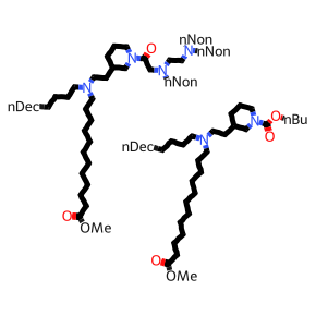 CCCCCCCCCCCCCCN(CCCCCCCCCCCC(=O)OC)CCC1CCCN(C(=O)CN(CCCCCCCCC)CCN(CCCCCCCCC)CCCCCCCCC)C1.CCCCCCCCCCCCCCN(CCCCCCCCCCCC(=O)OC)CCC1CCCN(C(=O)OCCCC)C1